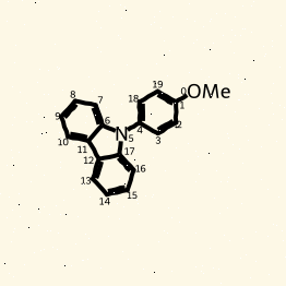 COc1[c]cc(-n2c3ccccc3c3ccccc32)cc1